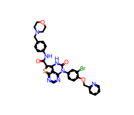 O=C(Nc1ccc(CN2CCOCC2)cc1)c1sc2ncnc3c2c1NC(=O)N3c1ccc(OCc2ccccn2)c(Br)c1